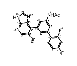 CC(=O)Nc1cc(-c2ccc(F)cc2F)cc(-c2c(Br)cnc3[nH]cnc23)c1